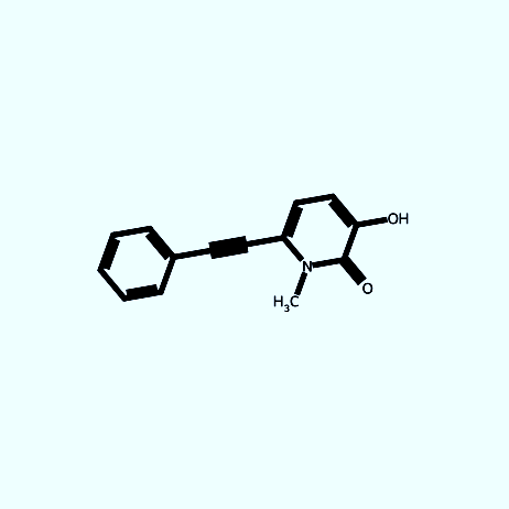 Cn1c(C#Cc2ccccc2)ccc(O)c1=O